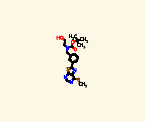 CSc1ncnc2sc(-c3cccc(CN(CCO)C(=O)OC(C)(C)C)c3)nc12